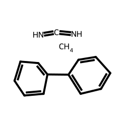 C.N=C=N.c1ccc(-c2ccccc2)cc1